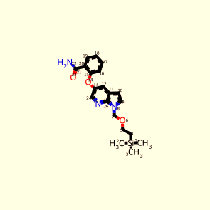 C[Si](C)(C)CCOCn1ccc2cc(Oc3ccccc3C(N)=O)cnc21